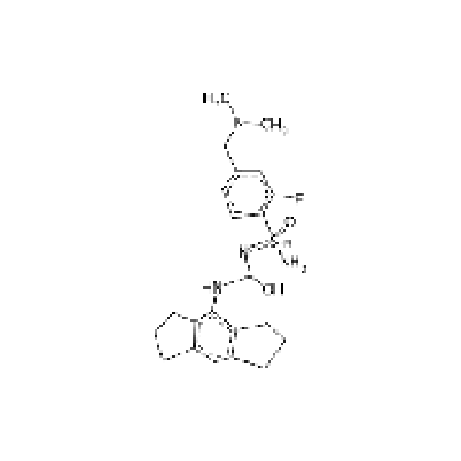 CN(C)Cc1ccc([S@](N)(=O)=NC(O)Nc2c3c(cc4c2CCC4)CCC3)c(F)c1